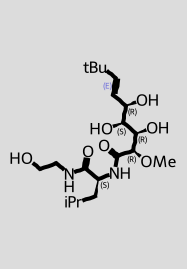 CO[C@@H](C(=O)N[C@@H](CC(C)C)C(=O)NCCO)[C@H](O)[C@@H](O)[C@H](O)/C=C/C(C)(C)C